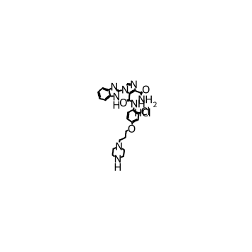 Cl.NC(=O)c1ncn(-c2nc3ccccc3[nH]2)c1C(=O)Nc1ccc(OCCCN2CCNCC2)cc1Cl